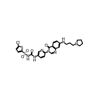 O=C(Nc1ccc(-n2cnc3cc(NCCCN4CCCC4)ccc3c2=O)nc1)NS(=O)(=O)c1ccc(Cl)s1